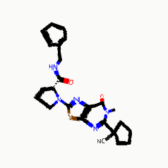 Cn1c(C2(C#N)CCCC2)nc2sc(N3CCC[C@@H]3C(=O)NCc3ccccc3)nc2c1=O